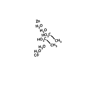 CC(=O)O.CC(=O)O.O.O.O.O.[Co].[Zn]